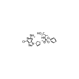 CC(NP(=O)(OC[C@@H]1C=C[C@H](n2cnc3c(Cl)nc(N)nc32)C1)Oc1ccccc1)C(=O)O